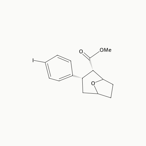 COC(=O)[C@@H]1C2CCC(C[C@@H]1c1ccc(I)cc1)O2